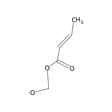 CC=CC(=O)OC[O]